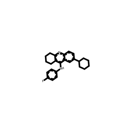 Fc1ccc(Nc2c3c(nc4ccc(C5CCCCC5)cc24)CCCC3)cc1